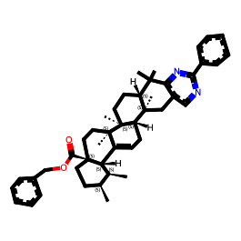 C[C@@H]1[C@H]2C3=CC[C@H]4[C@]5(C)Cc6cnc(-c7ccccc7)nc6C(C)(C)[C@H]5CC[C@]4(C)[C@]3(C)CC[C@@]2(C(=O)OCc2ccccc2)CC[C@@H]1C